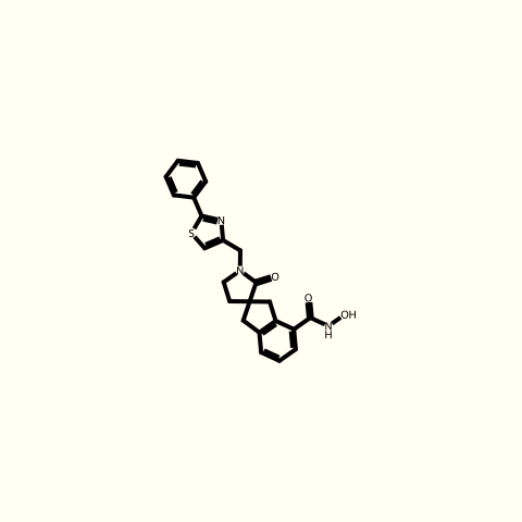 O=C(NO)c1cccc2c1CC1(CCN(Cc3csc(-c4ccccc4)n3)C1=O)C2